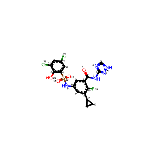 O=C(Nc1nc[nH]n1)c1cc(NS(=O)(=O)c2cc(Br)cc(Cl)c2O)cc(C2CC2)c1F